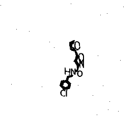 O=C(NCCc1ccc(Cl)cc1)c1cc(-c2ccco2)on1